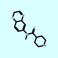 CN(C(=O)C1CCNCC1)C1=CC2N=CCOC2C=C1